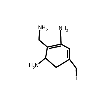 NCC1=C(N)C=C(CI)CC1N